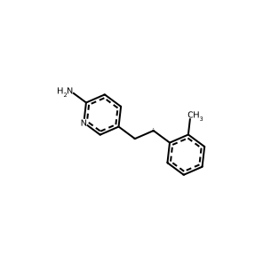 Cc1ccccc1[CH]Cc1ccc(N)nc1